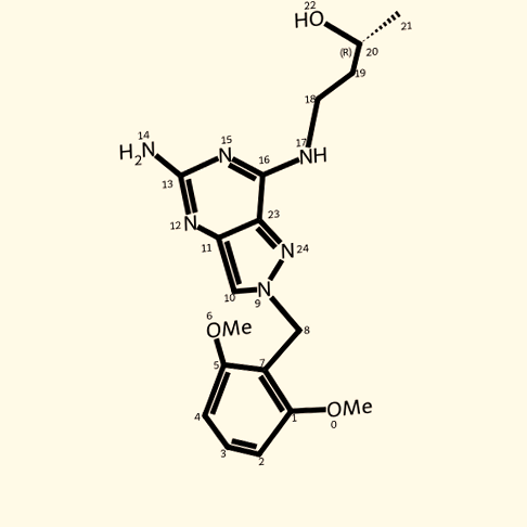 COc1cccc(OC)c1Cn1cc2nc(N)nc(NCC[C@@H](C)O)c2n1